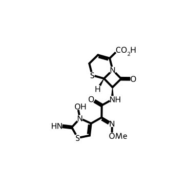 CON=C(C(=O)N[C@@H]1C(=O)N2C(C(=O)O)=CCS[C@@H]12)c1csc(=N)n1O